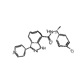 C[C@H](NC(=O)c1cccc2c(-c3ccncc3)n[nH]c12)c1ccc(Cl)cc1